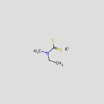 CCN(C)C(=S)[S-].[K+]